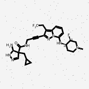 CN1CC[C@@H](Nc2cccc3c(CC(F)(F)F)c(C#CCNC(=O)C4(CC5CC5)C=NNC4N)nn23)[C@@H](F)C1